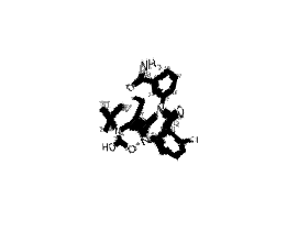 CCC(c1nc2cccc(Cl)c2c(=O)n1-c1cccc(C(N)=O)c1)N(C(=O)O)C(C)(C)C